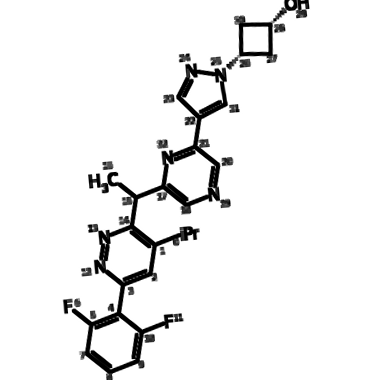 CC(C)c1cc(-c2c(F)cccc2F)nnc1C(C)c1cncc(-c2cnn([C@H]3C[C@@H](O)C3)c2)n1